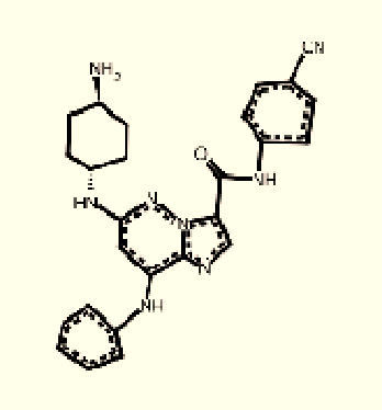 N#Cc1ccc(NC(=O)c2cnc3c(Nc4ccccc4)cc(N[C@H]4CC[C@H](N)CC4)nn23)cc1